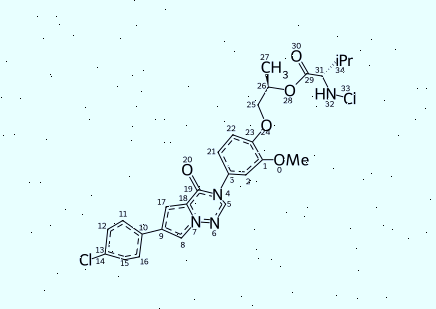 COc1cc(-n2cnn3cc(-c4ccc(Cl)cc4)cc3c2=O)ccc1OC[C@@H](C)OC(=O)[C@@H](NCl)C(C)C